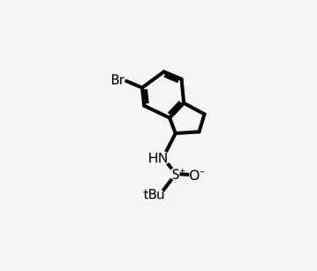 CC(C)(C)[S+]([O-])NC1CCc2ccc(Br)cc21